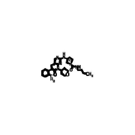 CCCCNC(=O)N1CC[C@H](Nc2ncc3cc(-c4ccccc4C)c(=O)n(C4CCOCC4)c3n2)C1